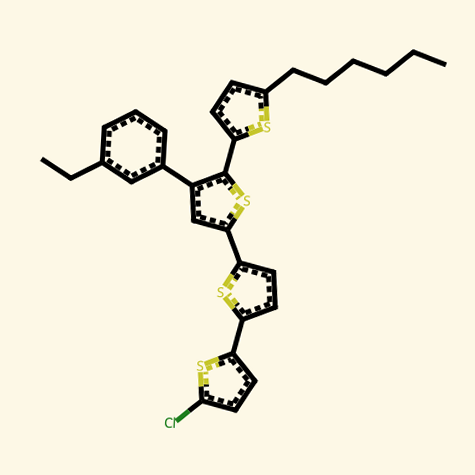 CCCCCCc1ccc(-c2sc(-c3ccc(-c4ccc(Cl)s4)s3)cc2-c2cccc(CC)c2)s1